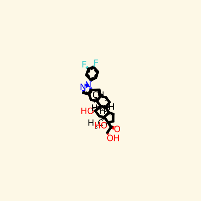 C[C@@]12Cc3cnn(-c4ccc(F)c(F)c4)c3C=C1CC[C@H]1[C@H]2[C@H](O)C[C@]2(C)[C@@H]1CC[C@@]2(O)C(=O)CO